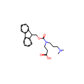 CN(C)CCCN(CCC(=O)O)C(=O)OCC1c2ccccc2-c2ccccc21